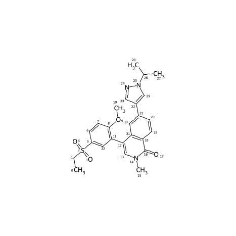 CCS(=O)(=O)c1ccc(OC)c(-c2cn(C)c(=O)c3ccc(-c4cnn(C(C)C)c4)cc23)c1